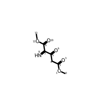 COC(=O)CC(=O)C(=N)C(=O)OC